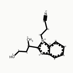 CC(CCO)c1nc2ccccc2n1CCC#N